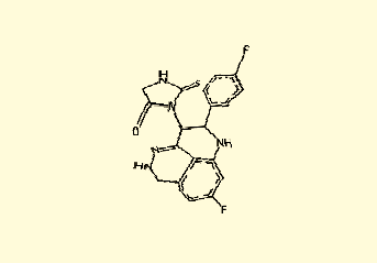 O=C1CNC(=S)N1C1C2=NNCc3cc(F)cc(c32)NC1c1ccc(F)cc1